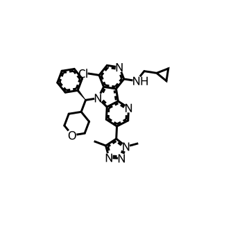 Cc1nnn(C)c1-c1cnc2c3c(NCC4CC4)ncc(Cl)c3n([C@H](c3ccccc3)C3CCOCC3)c2c1